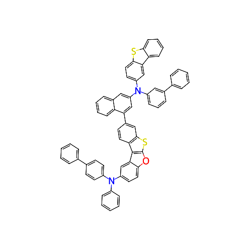 c1ccc(-c2ccc(N(c3ccccc3)c3ccc4oc5sc6cc(-c7cc(N(c8cccc(-c9ccccc9)c8)c8ccc9sc%10ccccc%10c9c8)cc8ccccc78)ccc6c5c4c3)cc2)cc1